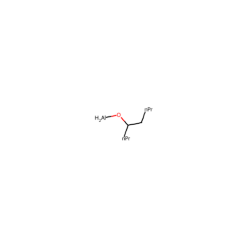 CCCCC(CCC)[O][AlH2]